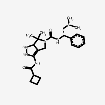 CN(C)C[C@@H](NC(=O)N1CC2=C(NC(=O)C3CCC3)NNC2C1(C)C)c1ccccc1